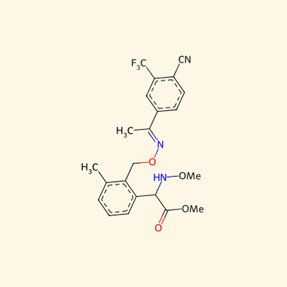 CONC(C(=O)OC)c1cccc(C)c1CO/N=C(\C)c1ccc(C#N)c(C(F)(F)F)c1